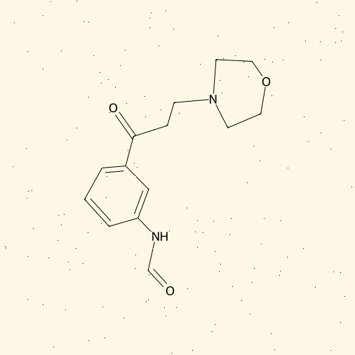 O=CNc1cccc(C(=O)CCN2CCOCC2)c1